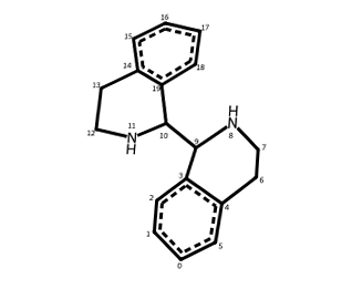 c1ccc2c(c1)CCNC2C1NCCc2ccccc21